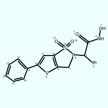 CC(C)C(C(=O)NO)N1Cc2sc(-c3ccccc3)cc2S1(=O)=O